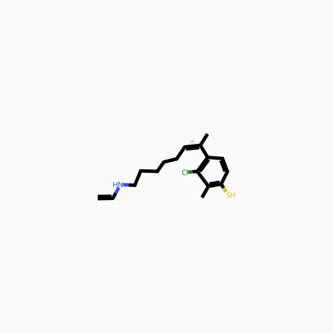 C=CNCCCCC/C=C(/C)c1ccc(S)c(C)c1Cl